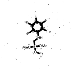 CCO[Si](CNc1c(F)c(F)c(F)c(F)c1F)(OC)OC